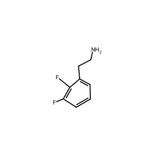 NCCc1cccc(F)c1F